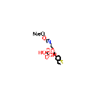 COCOC1CN(CCCOCCc2ccc3sccc3c2)C1.O=C(O)C(=O)O